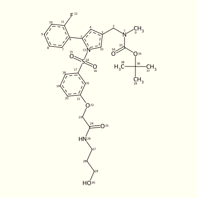 CN(Cc1cc(-c2ccccc2F)n(S(=O)(=O)c2cccc(OCC(=O)NCCCO)c2)c1)C(=O)OC(C)(C)C